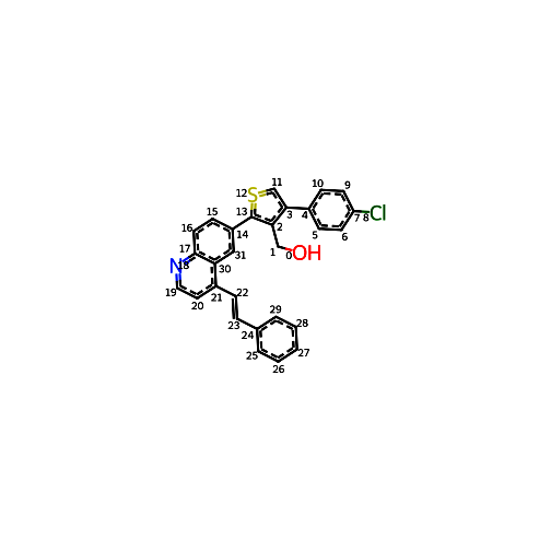 OCc1c(-c2ccc(Cl)cc2)csc1-c1ccc2nccc(C=Cc3ccccc3)c2c1